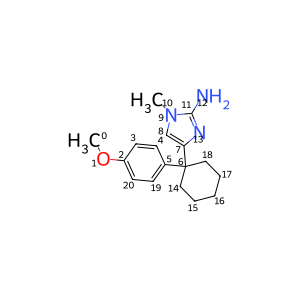 COc1ccc(C2(c3cn(C)c(N)n3)CCCCC2)cc1